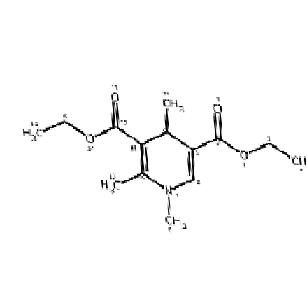 CCOC(=O)C1=CN(C)C(C)=C(C(=O)OCC)C1C